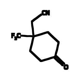 N#CCC1(C(F)(F)F)CCC(=O)CC1